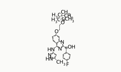 Cc1cc(Nc2nc([C@H](O)c3ccc(F)cc3)nc3cc(OCCO[Si](C)(C)C(C)(C)C)ccc23)n[nH]1